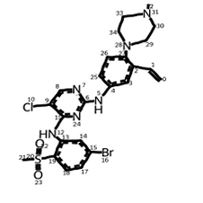 C=Cc1cc(Nc2ncc(Cl)c(Nc3cc(Br)ccc3S(C)(=O)=O)n2)ccc1N1CCN(C)CC1